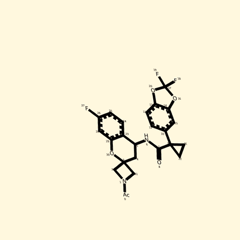 CC(=O)N1CC2(CC(NC(=O)C3(c4ccc5c(c4)OC(F)(F)O5)CC3)c3ccc(F)cc3O2)C1